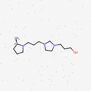 C[C@@H]1CCCN1CCCN1[C]N(CCCO)CC1